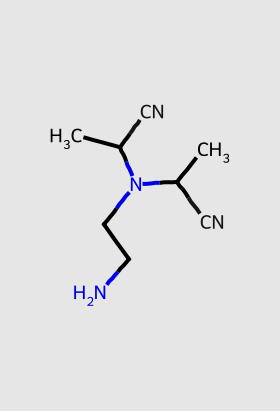 CC(C#N)N(CCN)C(C)C#N